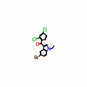 CCn1cc(C(=O)c2ccc(Cl)cc2Cl)c2cc(Br)ccc21